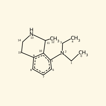 CCN(CC)c1cccc2c1C(C)NCC2